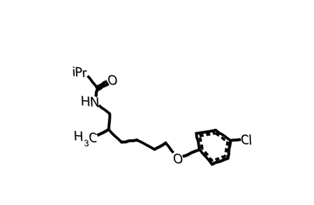 CC(CCCCOc1ccc(Cl)cc1)CNC(=O)C(C)C